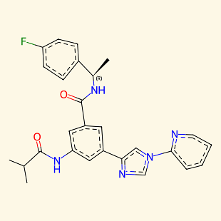 CC(C)C(=O)Nc1cc(C(=O)N[C@H](C)c2ccc(F)cc2)cc(-c2cn(-c3ccccn3)cn2)c1